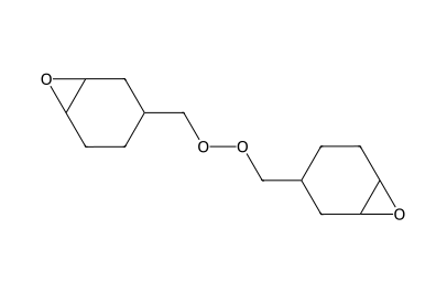 C1CC2OC2CC1COOCC1CCC2OC2C1